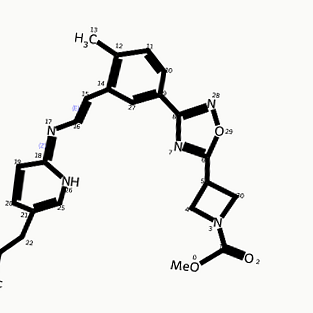 COC(=O)N1CC(c2nc(-c3ccc(C)c(/C=C/N=c4/ccc(CCC(C)=O)c[nH]4)c3)no2)C1